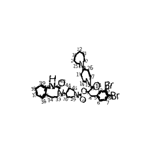 O=C(O[C@H](Cc1ccc(Br)c(Br)c1)C(=O)N1CCC(N2CCCCCC2)CC1)N1CCC(N2CCc3ccccc3NC2=O)CC1